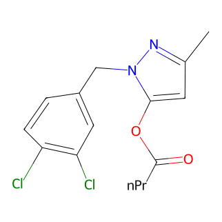 CCCC(=O)Oc1cc(C)nn1Cc1ccc(Cl)c(Cl)c1